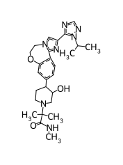 CNC(=O)C(C)(C)N1CCC(c2ccc3c(c2)OCCn2cc(-c4ncnn4C(C)C)nc2-3)C(O)C1